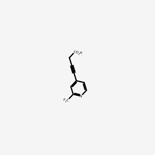 O=C(O)CC#Cc1ccnc(C(F)(F)F)c1